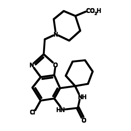 O=C1Nc2c(Cl)cc3nc(CN4CCC(C(=O)O)CC4)oc3c2C2(CCCCC2)N1